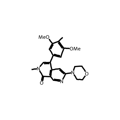 COc1cc(-c2cn(C)c(=O)c3cnc(N4CCOCC4)cc23)cc(OC)c1C